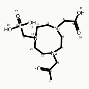 CC(=O)CN1CCN(CC(=O)O)CCN(CP(=O)(O)O)CC1